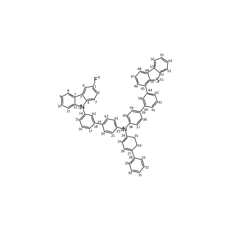 Fc1ccc2c(c1)c1ccccc1n2-c1cccc(-c2ccc(N(C3=CC=C(c4ccccc4)CC3)c3ccc(-c4cccc(-c5cccc6c5sc5ccccc56)c4)cc3)cc2)c1